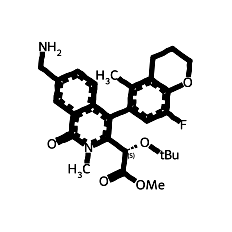 COC(=O)[C@@H](OC(C)(C)C)c1c(-c2cc(F)c3c(c2C)CCCO3)c2ccc(CN)cc2c(=O)n1C